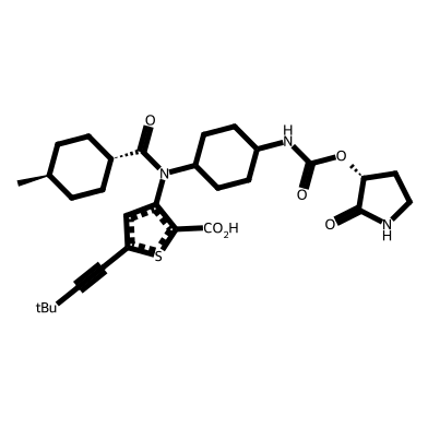 CC(C)(C)C#Cc1cc(N(C(=O)[C@H]2CC[C@H](C)CC2)C2CCC(NC(=O)O[C@@H]3CCNC3=O)CC2)c(C(=O)O)s1